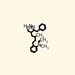 C=CN(C)c1ccccc1CCC(C)CC(CC)/C(Cc1ccccc1)=N\N